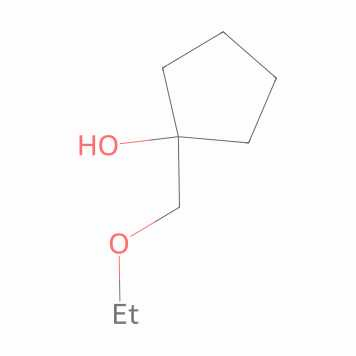 CCOCC1(O)CCCC1